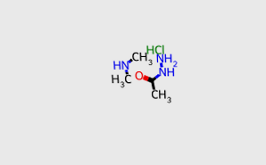 CC(=O)NN.CNC.Cl